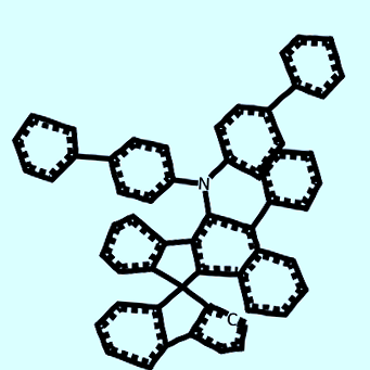 c1ccc(-c2ccc(N(c3ccc(-c4ccccc4)cc3)c3c4c(c5ccccc5c3-c3ccccc3)C3(c5ccccc5-c5ccccc53)c3ccccc3-4)cc2)cc1